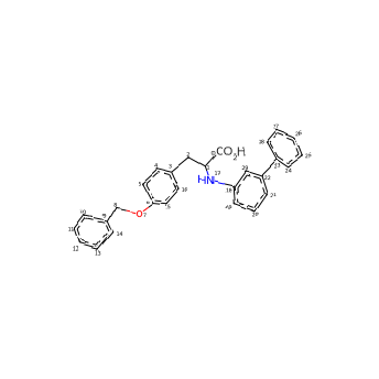 O=C(O)C(Cc1ccc(OCc2ccccc2)cc1)Nc1cccc(-c2ccccc2)c1